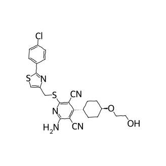 N#Cc1c(N)nc(SCc2csc(-c3ccc(Cl)cc3)n2)c(C#N)c1[C@H]1CC[C@H](OCCO)CC1